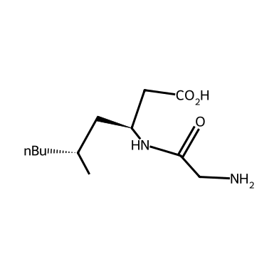 CCCC[C@@H](C)C[C@@H](CC(=O)O)NC(=O)CN